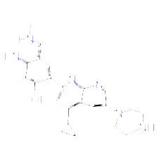 CN/C=C1/C=C(c2cc(C3CC3)c3cc(N4CCNCC4)cnc3n2)C(O)=C(C)C1=N